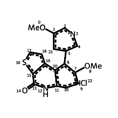 COc1cncc(-c2c(OC)ccc3[nH]c(=O)c4sccc4c23)c1.Cl